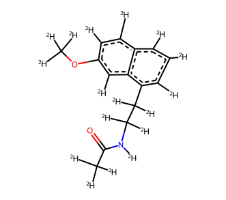 [2H]c1c([2H])c(C([2H])([2H])C([2H])([2H])N([2H])C(=O)C([2H])([2H])[2H])c2c([2H])c(OC([2H])([2H])[2H])c([2H])c([2H])c2c1[2H]